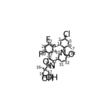 Cc1cc(Cl)cc(C)c1-n1cc(-c2nc(C(C)(CO)CO)oc2-c2ccc(F)cc2F)ccc1=O